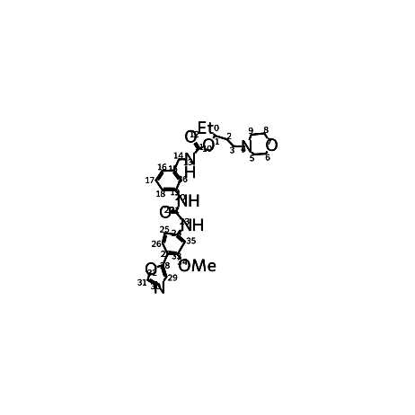 CCC(CCN1CCOCC1)OC(=O)NCc1cccc(NC(=O)Nc2ccc(-c3cnco3)c(OC)c2)c1